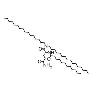 CCCCCCCCCCCCCCCCN(CCCCCCCCCCCCCCCC)C(=O)[C@H](CCC(N)=O)NC(=O)CCCCCCCCCCC